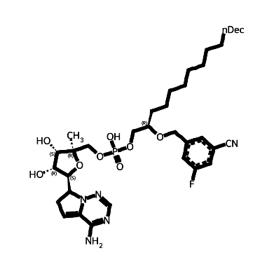 CCCCCCCCCCCCCCCCCC[C@H](COP(=O)(O)OC[C@@]1(C)O[C@@H](C2CC=C3C(N)=NC=NN32)[C@H](O)[C@@H]1O)OCc1cc(F)cc(C#N)c1